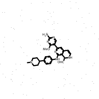 COc1nc(N)ncc1-c1cc2c(c(Nc3ccc(C4CCN(C)CC4)cc3)n1)C(C=O)NC=C2